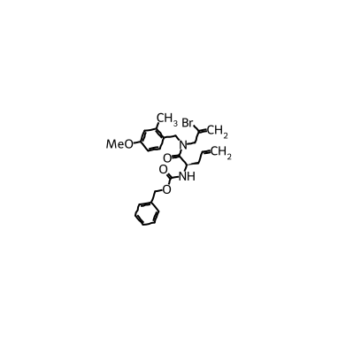 C=CC[C@@H](NC(=O)OCc1ccccc1)C(=O)N(CC(=C)Br)Cc1ccc(OC)cc1C